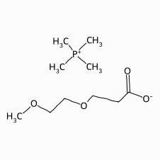 COCCOCCC(=O)[O-].C[P+](C)(C)C